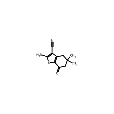 CC1(C)CC(=O)c2sc(N)c(C#N)c2C1